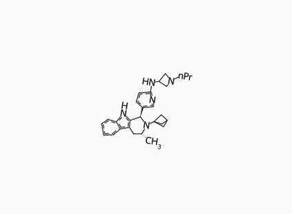 CCCN1CC(Nc2ccc([C@@H]3c4[nH]c5ccccc5c4C[C@@H](C)N3C34CC(C3)C4)cn2)C1